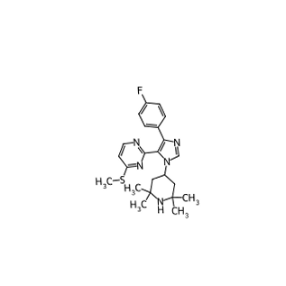 CSc1ccnc(-c2c(-c3ccc(F)cc3)ncn2C2CC(C)(C)NC(C)(C)C2)n1